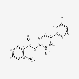 Cc1cccc(-c2cc[n+](CC(=O)c3ccccc3[N+](=O)[O-])cn2)c1.[Br-]